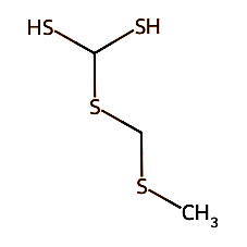 CSCSC(S)S